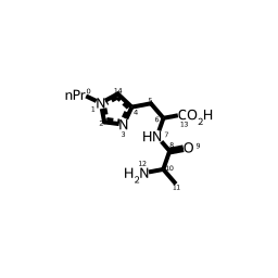 CCCn1cnc(CC(NC(=O)C(C)N)C(=O)O)c1